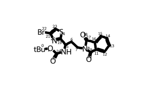 CC(C)(C)OC(=O)NC(CCN1C(=O)c2ccccc2C1=O)c1nc(Br)cs1